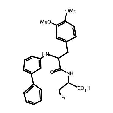 COc1ccc(CC(Nc2cccc(-c3ccccc3)c2)C(=O)NC(CC(C)C)C(=O)O)cc1OC